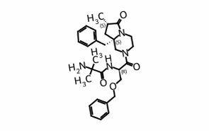 C[C@H]1C[C@]2(Cc3ccccc3)CN(C(=O)[C@@H](COCc3ccccc3)NC(=O)C(C)(C)N)CCN2C1=O